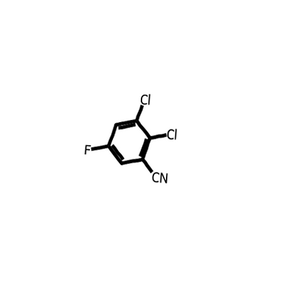 N#Cc1cc(F)cc(Cl)c1Cl